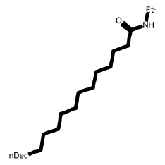 C[CH]NC(=O)CCCCCCCCCCCCCCCCCCCCC